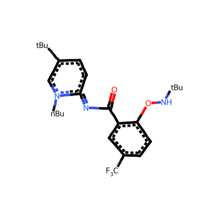 CCCCn1cc(C(C)(C)C)cc/c1=N\C(=O)c1cc(C(F)(F)F)ccc1ONC(C)(C)C